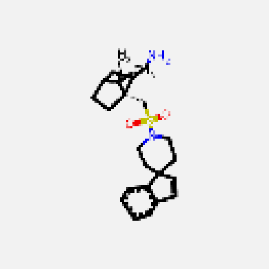 CC1(C)C2CC[C@]1(CS(=O)(=O)N1CCC3(C=Cc4ccccc43)CC1)C(CN)C2